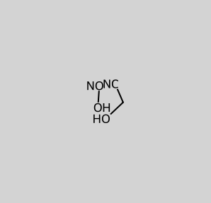 N#CCO.O=NO